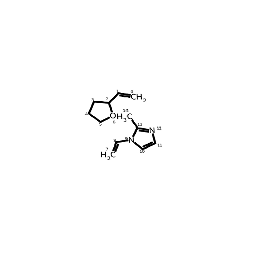 C=CC1CCCO1.C=Cn1ccnc1C